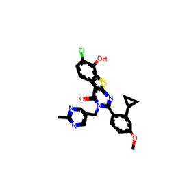 COc1ccc(-c2nc3sc4c(O)c(Cl)ccc4c3c(=O)n2Cc2cnc(C)nc2)c(C2CC2)c1